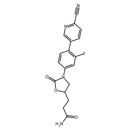 N#Cc1ccc(-c2ccc(N3CC(CCC(N)=O)OC3=O)cc2F)cn1